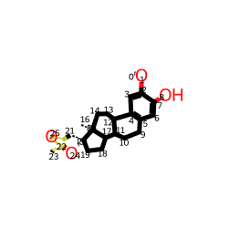 COc1cc2c(cc1O)CCC1C2CC[C@@]2(C)C1CC[C@@H]2CS(C)(=O)=O